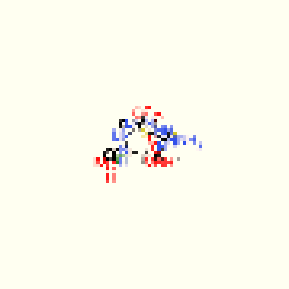 CC(C)(O/N=C(\C(=O)N[C@@H]1C(=O)N2C(C(=O)[O-])=C(C[N+]3(CCNC4CNC(c5ccc(O)c(O)c5Cl)=N4)CCCC3)CS[C@H]12)c1csc(N)n1)C(=O)O